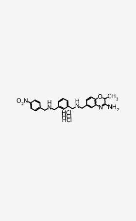 CC1Oc2ccc(CNCc3cccc(CNCc4ccc([N+](=O)[O-])cc4)c3)cc2N=C1N.Cl.Cl.Cl